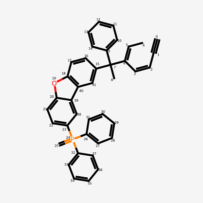 C#C/C=C\C(=C/C)C(C)(c1ccccc1)c1ccc2oc3ccc(P(=C)(c4ccccc4)c4ccccc4)cc3c2c1